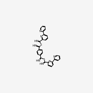 N=C(SC(=N)c1cccc(-c2ccccn2)n1)c1ccc(C(=N)SC(=N)c2cccc(-c3ccccn3)n2)cc1